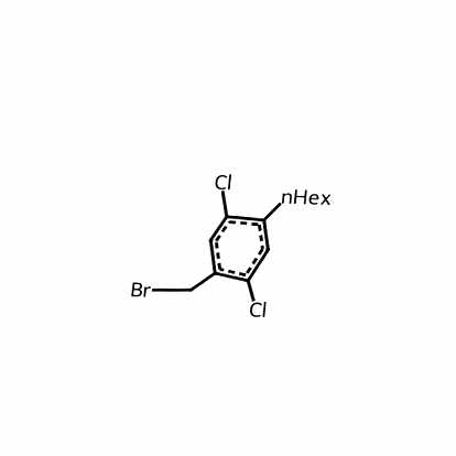 CCCCCCc1cc(Cl)c(CBr)cc1Cl